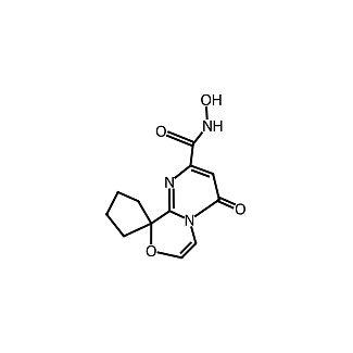 O=C(NO)c1cc(=O)n2c(n1)C1(CCCC1)OC=C2